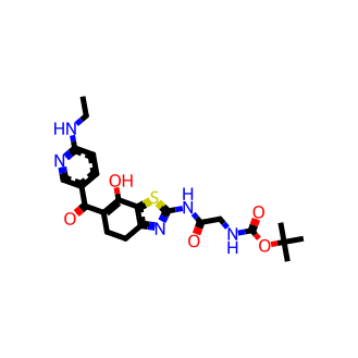 CCNc1ccc(C(=O)C2=C(O)c3sc(NC(=O)CNC(=O)OC(C)(C)C)nc3CC2)cn1